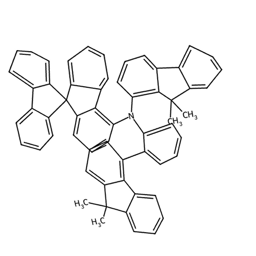 CC1(C)c2ccccc2-c2c(-c3ccccc3N(c3cccc4c3-c3ccccc3C43c4ccccc4-c4ccccc43)c3cccc4c3C(C)(C)c3ccccc3-4)cccc21